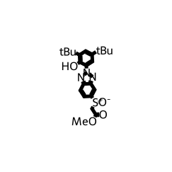 COC(=O)C[S+]([O-])c1ccc2nn(-c3cc(C(C)(C)C)cc(C(C)(C)C)c3O)nc2c1